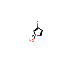 O[SeH]1C=CC(Cl)=C1